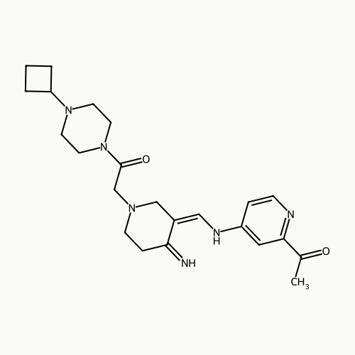 CC(=O)c1cc(N/C=C2/CN(CC(=O)N3CCN(C4CCC4)CC3)CCC2=N)ccn1